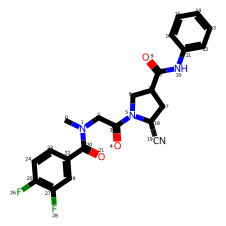 CN(CC(=O)N1CC(C(=O)Nc2ccccc2)CC1C#N)C(=O)c1ccc(F)c(F)c1